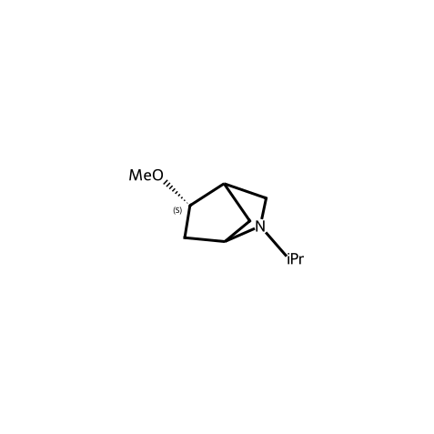 CO[C@H]1CC2CC1CN2C(C)C